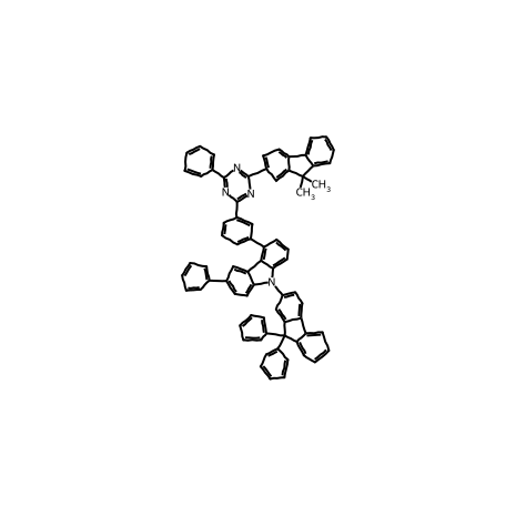 CC1(C)c2ccccc2-c2ccc(-c3nc(-c4ccccc4)nc(-c4cccc(-c5cccc6c5c5cc(-c7ccccc7)ccc5n6-c5ccc6c(c5)C(c5ccccc5)(c5ccccc5)c5ccccc5-6)c4)n3)cc21